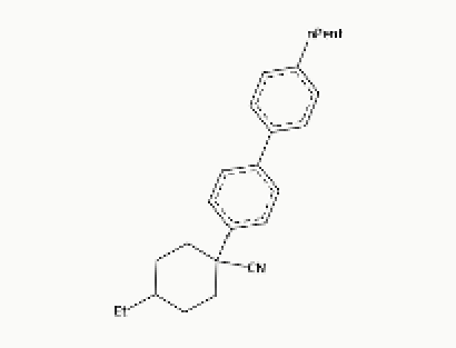 CCCCCc1ccc(-c2ccc(C3(C#N)CCC(CC)CC3)cc2)cc1